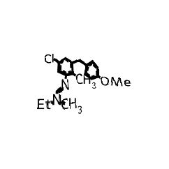 CCN(C)C=Nc1cc(Cl)cc(Cc2ccc(OC)cc2)c1C